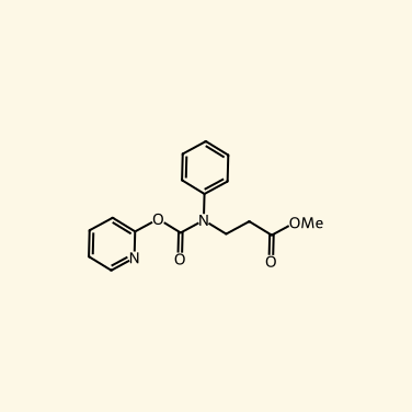 COC(=O)CCN(C(=O)Oc1ccccn1)c1ccccc1